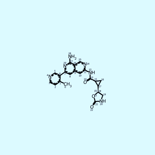 Cc1ccncc1-c1cc2cc(NC(=O)C3CC3[C@H]3CNC(=O)O3)ncc2c(N)n1